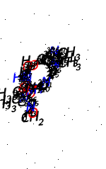 C=CC(=O)N1CC[C@H](C(=O)N(C)[C@H](C(=O)N[C@H]2C[C@@H]3CCCN(C3)c3ccc4c(c3)c(c(-c3cccnc3C(C)C)n4CC)CC(C)(C)COC(=O)[C@@H]3CCCN(N3)C2=O)C(C)C)C1